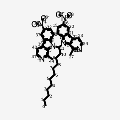 CCCCCCCCCCCC(n1c2ccc([N+](=O)[O-])cc2c2ccnc(C)c21)n1c2ccc([N+](=O)[O-])cc2c2ccnc(C)c21